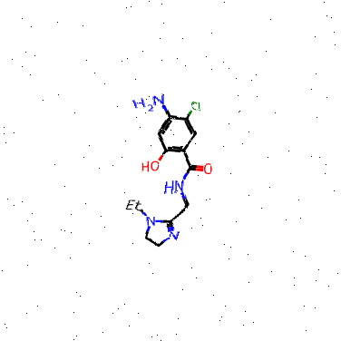 CCN1CCN=C1CNC(=O)c1cc(Cl)c(N)cc1O